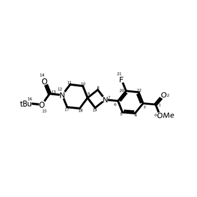 COC(=O)c1ccc(N2CC3(CCN(C(=O)OC(C)(C)C)CC3)C2)c(F)c1